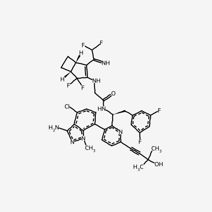 Cn1nc(N)c2c(Cl)ccc(-c3ccc(C#CC(C)(C)O)nc3[C@H](Cc3cc(F)cc(F)c3)NC(=O)CNC3=C(C(=N)C(F)F)[C@H]4CC[C@H]4C3(F)F)c21